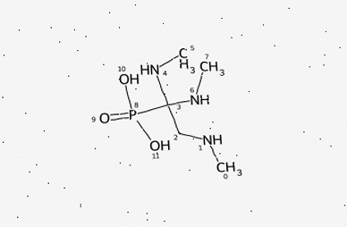 CNCC(NC)(NC)P(=O)(O)O